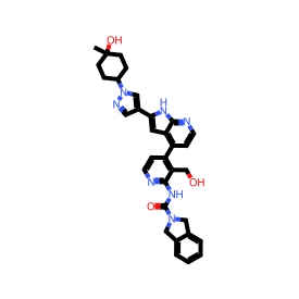 CC1(O)CCC(n2cc(-c3cc4c(-c5ccnc(NC(=O)N6Cc7ccccc7C6)c5CO)ccnc4[nH]3)cn2)CC1